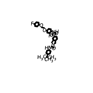 CC(C)(C)c1ccc(NC(=O)N2Cc3ccc(S(=O)(=O)Nc4ccc(OCCOc5ccc(F)cc5)cc4F)cc3C2)cc1